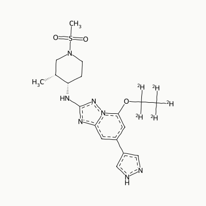 [2H]C([2H])([2H])C([2H])([2H])Oc1cc(-c2cn[nH]c2)cc2nc(N[C@H]3CCN(S(C)(=O)=O)C[C@H]3C)nn12